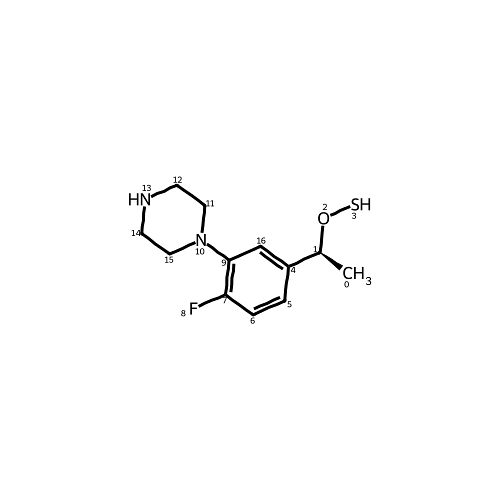 C[C@H](OS)c1ccc(F)c(N2CCNCC2)c1